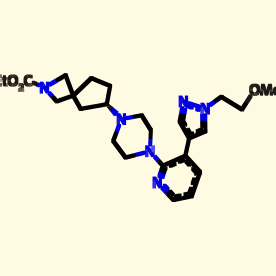 CCOC(=O)N1CC2(CC[C@@H](N3CCN(c4ncccc4-c4cnn(CCOC)c4)CC3)C2)C1